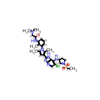 CCS(=O)(=O)N1CC[C@H](Nc2c(Br)cnc3nc(-c4cc(C)n(-c5cccc(NC(=O)CN(C)C)c5C)c4C)[nH]c23)C1